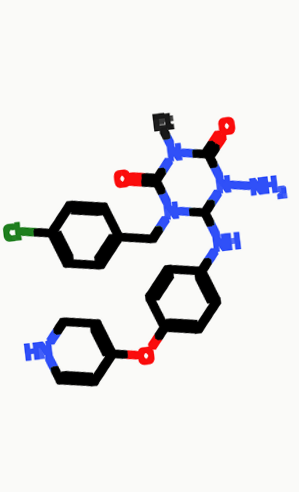 CCN1C(=O)N(N)C(Nc2ccc(OC3=CCNC=C3)cc2)N(Cc2ccc(Cl)cc2)C1=O